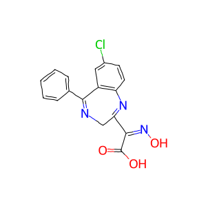 O=C(O)C(=NO)C1=Nc2ccc(Cl)cc2C(c2ccccc2)=NC1